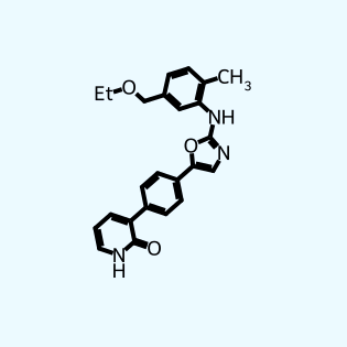 CCOCc1ccc(C)c(Nc2ncc(-c3ccc(-c4ccc[nH]c4=O)cc3)o2)c1